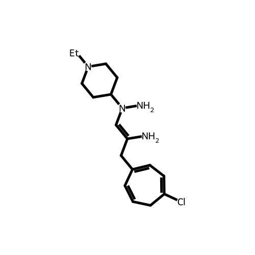 CCN1CCC(N(N)/C=C(\N)CC2=CC=C(Cl)CC=C2)CC1